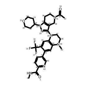 CNC(=O)c1ccc(-c2cc3c(cc2C(F)(F)F)N(c2nn(C4CCOCC4)c4c2CN(C(C)=O)CC4)CCN3C)cn1